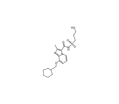 Cc1nc2c(OCC3CCCCC3)cccn2c1C(=O)NS(=O)(=O)CCCO